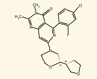 Cc1nc2cc(N3CCO[C@@H]([C@@H]4CCOC4)C3)nc(-c3ccc(Cl)cc3F)c2c(=O)n1C